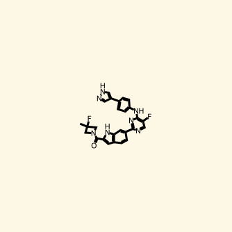 CC1(F)CN(C(=O)c2cc3ccc(-c4ncc(F)c(Nc5ccc(-c6cn[nH]c6)cc5)n4)cc3[nH]2)C1